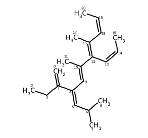 C=C(CC)C(=C/C(C)C)/C=C(C)/C(/C=C\C)=C(C)/C=C\C